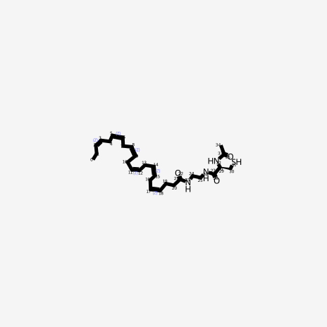 CC/C=C\C/C=C\C/C=C\C/C=C\C/C=C\C/C=C\CCC(=O)NCCNC(=O)[C@H](CS)NC(C)=O